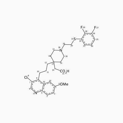 COc1ccc2ncc(Cl)c(CCCC3(CC(=O)O)CCN(CCSc4cccc(F)c4F)CC3)c2c1